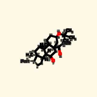 CCC[C@@H](C)[C@H]1CC[C@H]2[C@@H]3C(=O)CC4(C(=O)OC)C[C@H](O[Si](C)(C)C)CC[C@]4(C)[C@H]3CC[C@]12C